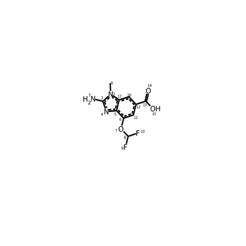 Cn1c(N)nc2c(OC(F)F)cc(C(=O)O)cc21